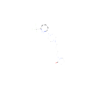 O=C1CCCN1CCCCN1CCN(c2cccc(C(F)(F)F)n2)CC1